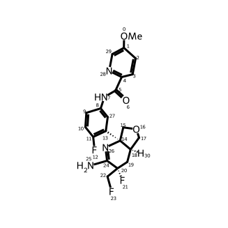 COc1ccc(C(=O)Nc2ccc(F)c([C@]34COC[C@H]3C[C@@](F)(CF)C(N)=N4)c2)nc1